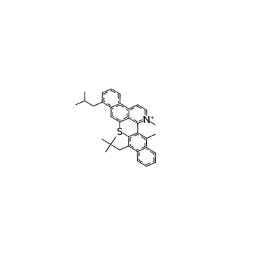 Cc1c2c(c(CC(C)(C)C)c3ccccc13)Sc1cc3c(CC(C)C)cccc3c3cc[n+](C)c-2c13